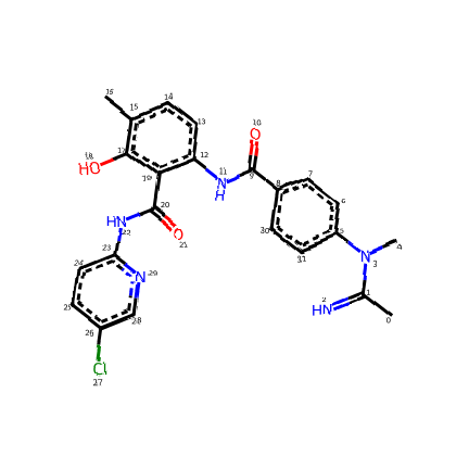 CC(=N)N(C)c1ccc(C(=O)Nc2ccc(C)c(O)c2C(=O)Nc2ccc(Cl)cn2)cc1